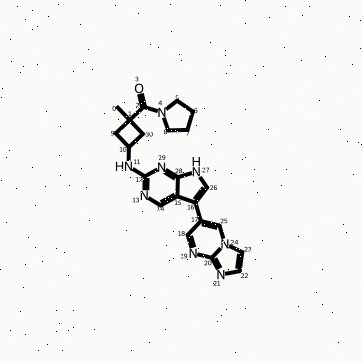 CC1(C(=O)N2CCCC2)CC(Nc2ncc3c(-c4cnc5nccn5c4)c[nH]c3n2)C1